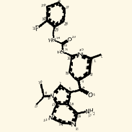 Cc1cc(C(=O)c2cn(C(C)C)c3ncnc(N)c23)cc(NC(=O)Nc2ccccc2F)n1